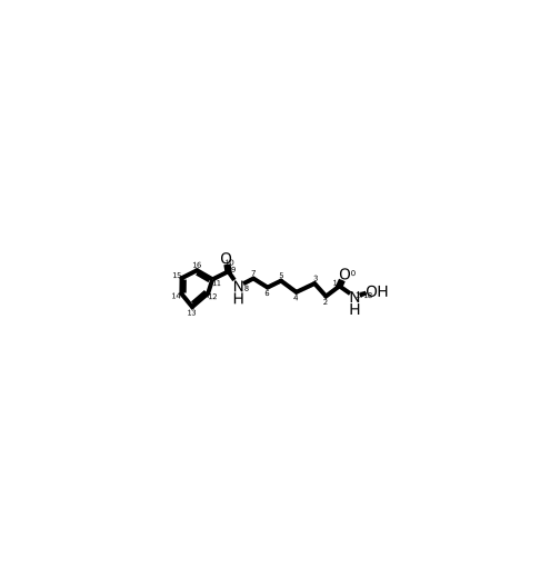 O=C(CCCCCCNC(=O)c1[c]cccc1)NO